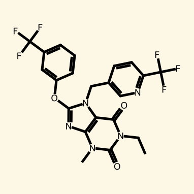 CCn1c(=O)c2c(nc(Oc3cccc(C(F)(F)F)c3)n2Cc2ccc(C(F)(F)F)nc2)n(C)c1=O